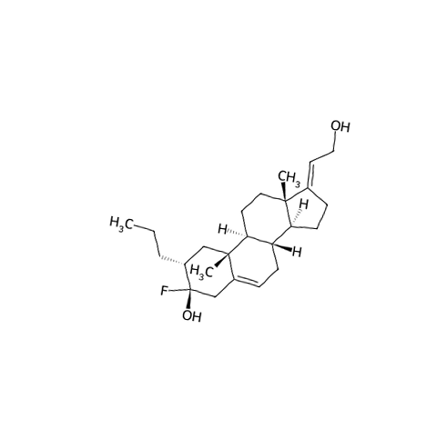 CCC[C@@H]1C[C@@]2(C)C(=CC[C@@H]3[C@@H]2CC[C@]2(C)C(=CCO)CC[C@@H]32)C[C@]1(O)F